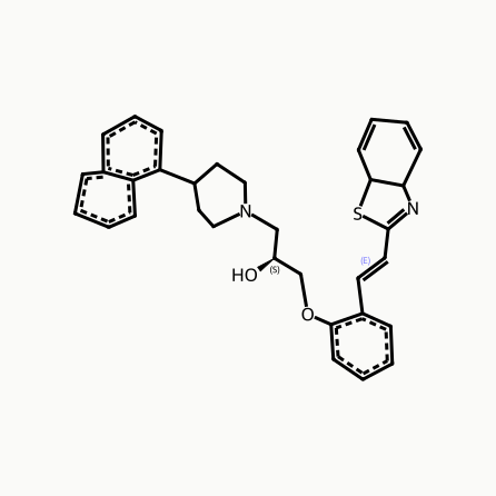 O[C@H](COc1ccccc1/C=C/C1=NC2C=CC=CC2S1)CN1CCC(c2cccc3ccccc23)CC1